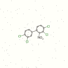 O=[N+]([O-])c1c(-c2ccc(Cl)c(Cl)c2)ccc(Cl)c1Cl